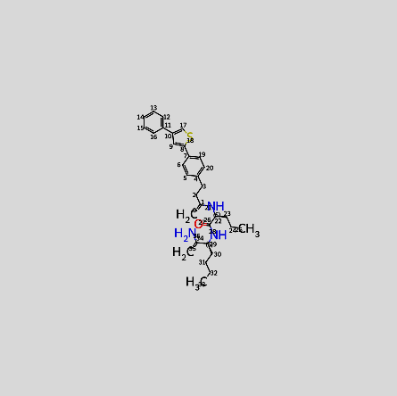 C=C(CCc1ccc(-c2cc(-c3ccccc3)cs2)cc1)N[C@@H](CCC)C(=O)N[C@@H](CCCC)C(=C)N